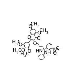 COc1cc(OC)c2c(=O)c(OCCCC3(c4cccc([N+](=O)[O-])c4)Nc4ccccc4N3)c(-c3cc(OC)c(OC)c(OC)c3)oc2c1